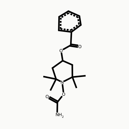 CC1(C)CC(OC(=O)c2ccccc2)CC(C)(C)N1OC(N)=O